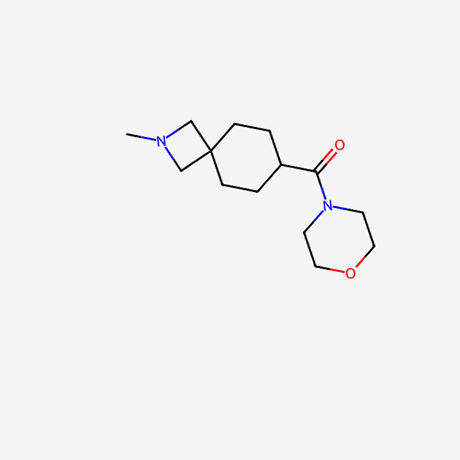 CN1CC2(CCC(C(=O)N3CCOCC3)CC2)C1